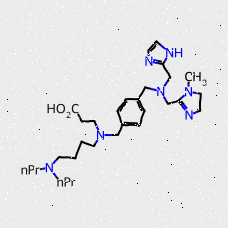 CCCN(CCC)CCCCN(CCC(=O)O)Cc1ccc(CN(CC2=NCCN2C)Cc2ncc[nH]2)cc1